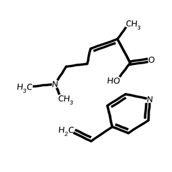 C=Cc1ccncc1.CC(=CCCN(C)C)C(=O)O